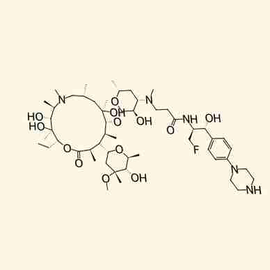 CC[C@H]1OC(=O)[C@H](C)C([C@H]2C[C@@](C)(OC)[C@@H](O)[C@H](C)O2)[C@H](C)[C@@H](O[C@@H]2O[C@H](C)C[C@H](N(C)CCC(=O)N[C@H](CF)[C@H](O)c3ccc(N4CCNCC4)cc3)[C@H]2O)[C@](C)(O)C[C@@H](C)CN(C)[C@H](C)[C@@H](O)[C@]1(C)O